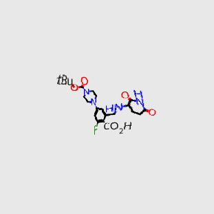 CC(C)(C)OC(=O)N1CCN(c2cc(F)c(C(=O)O)c(CNC3CCC(=O)NC3=O)c2)CC1